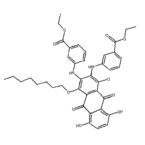 CCCCCCCCOc1c(Nc2cccc(C(=O)OCC)c2)c(Nc2cccc(C(=O)OCC)c2)c(Cl)c2c1C(=O)c1c(O)ccc(O)c1C2=O